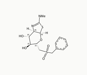 CNC1=N[C@@H]2[C@@H](O)[C@H](O)[C@@H](CS(=O)(=O)Cc3ccccc3)O[C@@H]2S1